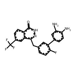 Nc1ccc(-c2cc(Cc3n[nH]c(=O)c4ccc(C(F)(F)F)cc34)ccc2F)cc1N